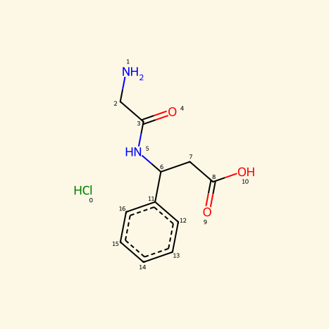 Cl.NCC(=O)NC(CC(=O)O)c1ccccc1